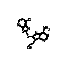 Nc1ncnc2c1nc(Sc1nc3c(Cl)ccnc3s1)n2CCO